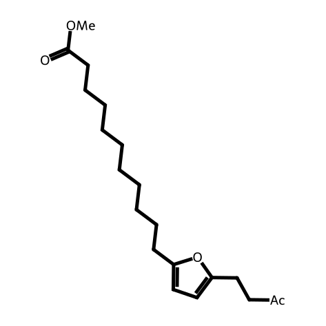 COC(=O)CCCCCCCCCCc1ccc(CCC(C)=O)o1